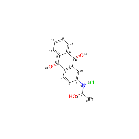 CC(C)C(O)N(Cl)c1ccc2c(c1)C(=O)c1ccccc1C2=O